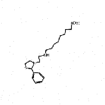 CCCCCCCCCCCCCCCCCCNCCN1CCSC1c1ccccc1